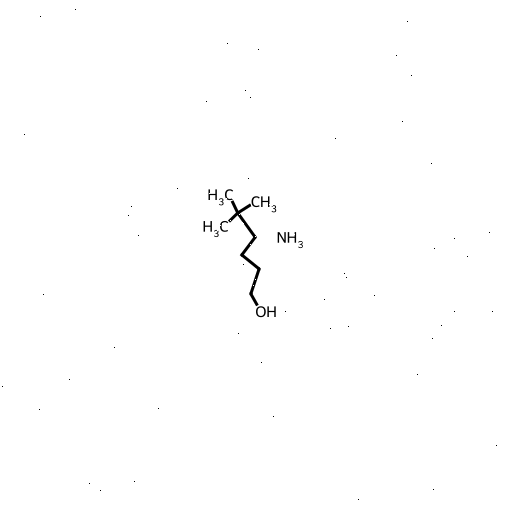 CC(C)(C)CCCCO.N